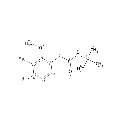 COc1c(CC(=O)OC(C)(C)C)ccc(Cl)c1F